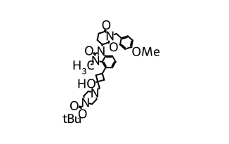 COc1ccc(CN2C(=O)CCC(n3c(=O)n(C)c4c(C5CC(O)(CN6CCN(C(=O)OC(C)(C)C)CC6)C5)cccc43)C2=O)cc1